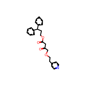 O=C(COCCc1ccncc1)CC(=O)OCCC(c1ccccc1)c1ccccc1